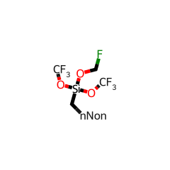 CCCCCCCCCC[Si](OCF)(OC(F)(F)F)OC(F)(F)F